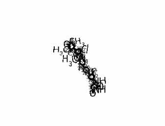 COc1cc(-c2cn(C)c(=O)c(C)c2C)cc(Cl)c1CN1CCC(F)(C2CCN(c3ccc(NC4CCC(=O)NC4=O)cc3F)CC2)CC1